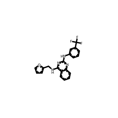 FC(F)(F)c1cccc(Nc2nc(NCc3ccco3)c3ccccc3n2)c1